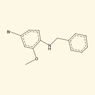 COc1cc(Br)ccc1NCc1ccccc1